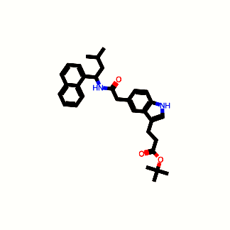 CC(C)CC(NC(=O)Cc1ccc2[nH]cc(CCC(=O)OC(C)(C)C)c2c1)c1cccc2ccccc12